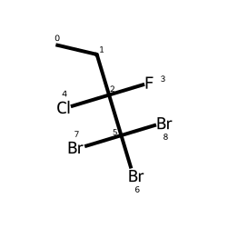 CCC(F)(Cl)C(Br)(Br)Br